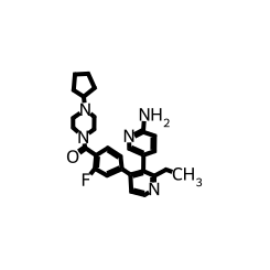 CCc1nccc(-c2ccc(C(=O)N3CCN(C4CCCC4)CC3)c(F)c2)c1-c1ccc(N)nc1